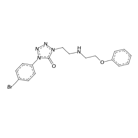 O=c1n(CCNCCOc2ccccc2)nnn1-c1ccc(Br)cc1